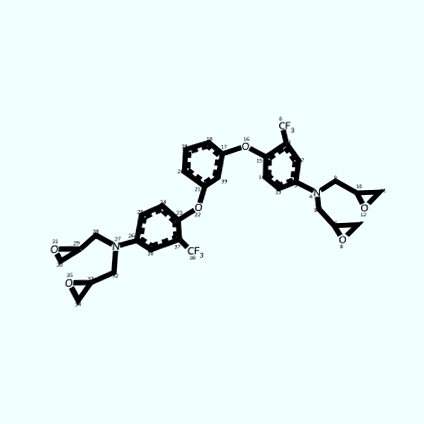 FC(F)(F)c1cc(N(CC2CO2)CC2CO2)ccc1Oc1cccc(Oc2ccc(N(CC3CO3)CC3CO3)cc2C(F)(F)F)c1